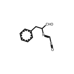 O=B/C=N/C(C=O)Cc1ccccc1